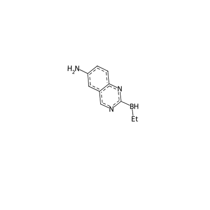 CCBc1ncc2cc(N)ccc2n1